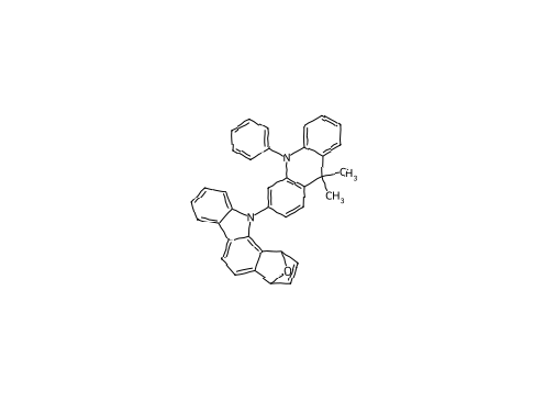 CC1(C)c2ccccc2N(c2ccccc2)c2cc(-n3c4ccccc4c4ccc5c(c43)C3C=CC5O3)ccc21